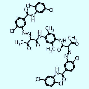 CC(=O)C(N=Nc1cc(C(=O)Nc2cc(Cl)ccc2Cl)ccc1Cl)C(=O)Nc1cc(C)c(NC(=O)C(N=Nc2cc(C(=O)Nc3cc(Cl)ccc3Cl)ccc2Cl)C(C)=O)cc1C